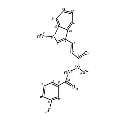 CCCn1cc(C=CC(=O)N(NC(=O)c2cccc(F)c2)C(C)C)c2ccccc21